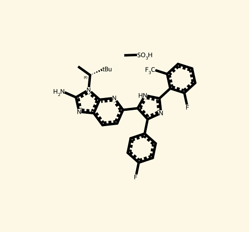 CS(=O)(=O)O.C[C@@H](n1c(N)nc2ccc(-c3[nH]c(-c4c(F)cccc4C(F)(F)F)nc3-c3ccc(F)cc3)nc21)C(C)(C)C